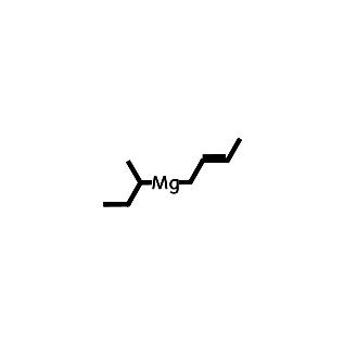 C/C=C/[CH2][Mg][CH](C)CC